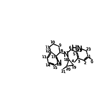 CC1=CC(C)=C(CN(C2CCCc3cccnc32)C2CC2C)NC1